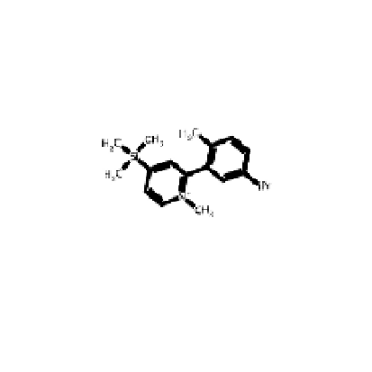 Cc1ccc(C(C)C)cc1-c1cc([Si](C)(C)C)cc[n+]1C